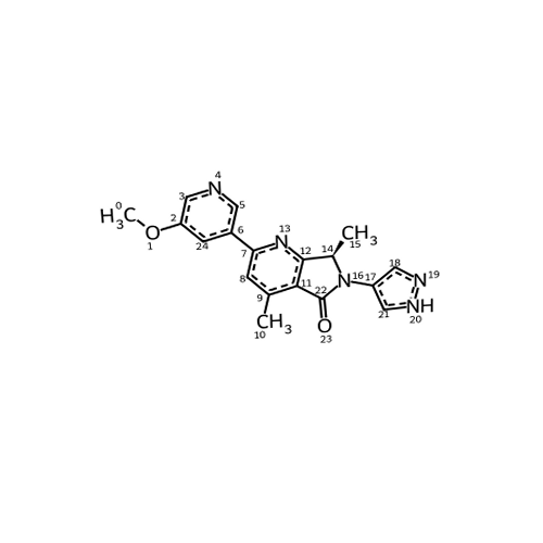 COc1cncc(-c2cc(C)c3c(n2)[C@@H](C)N(c2cn[nH]c2)C3=O)c1